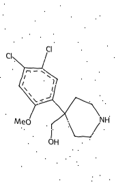 COc1cc(Cl)c(Cl)cc1C1(CO)CCNCC1